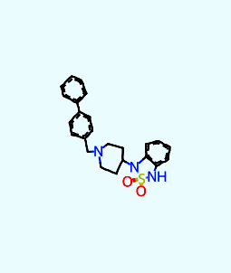 O=S1(=O)Nc2ccccc2N1C1CCN(Cc2ccc(-c3ccccc3)cc2)CC1